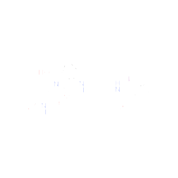 Cc1cccc(C(=O)NCCCCNc2cccc3c2C(=O)N(C2CCC(=O)NC2=O)C3O)c1I